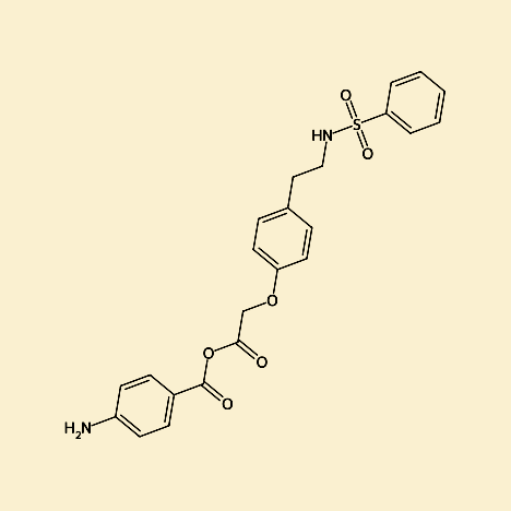 Nc1ccc(C(=O)OC(=O)COc2ccc(CCNS(=O)(=O)c3ccccc3)cc2)cc1